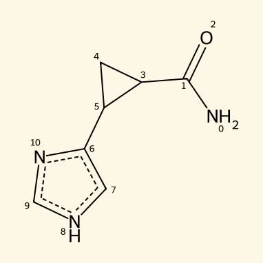 NC(=O)C1CC1c1c[nH]cn1